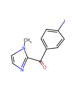 Cn1ccnc1C(=O)c1ccc(I)cc1